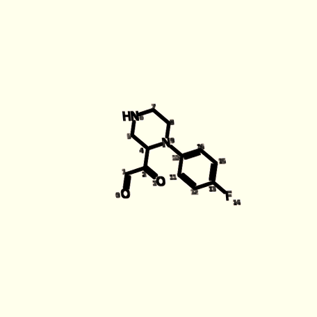 O=CC(=O)C1CNCCN1c1ccc(F)cc1